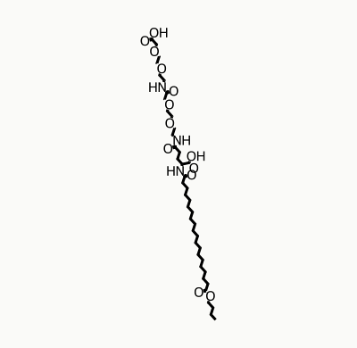 CCCCOC(=O)CCCCCCCCCCCCCCCCCCC(=O)NC(CCC(=O)NCCOCCOCC(=O)NCCOCCOCC(=O)O)C(=O)O